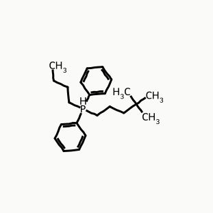 CCCC[PH](CCCC(C)(C)C)(c1ccccc1)c1ccccc1